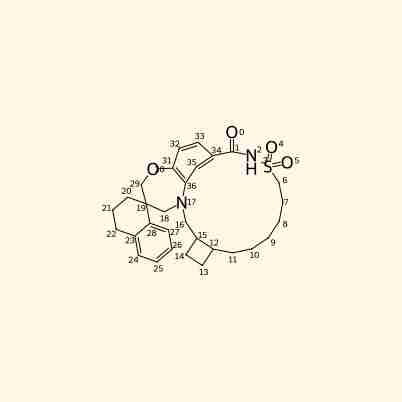 O=C1NS(=O)(=O)CCCCCCC2CCC2CN2CC3(CCCc4ccccc43)COc3ccc1cc32